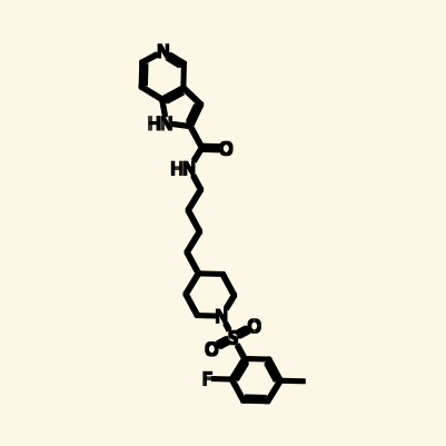 Cc1ccc(F)c(S(=O)(=O)N2CCC(CCCCNC(=O)c3cc4cnccc4[nH]3)CC2)c1